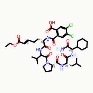 CCOC(=O)/C=C/CC[C@H](NC(=O)c1cc(Cl)c(Cl)cc1C(=O)O)C(=O)NC(C(=O)N1CCC[C@H]1C(=O)N[C@@H](CC(C)C)C(=O)N[C@H](C(N)=O)C1CCCCC1)C(C)C